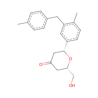 Cc1ccc(Cc2cc([C@H]3CC(=O)C[C@@H](CO)O3)ccc2C)cc1